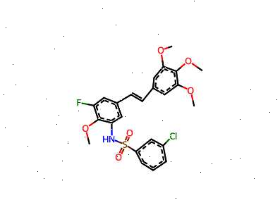 COc1cc(C=Cc2cc(F)c(OC)c(NS(=O)(=O)c3cccc(Cl)c3)c2)cc(OC)c1OC